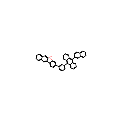 c1cc(-c2ccc3c(c2)oc2cc4ccccc4cc23)cc(-c2c3ccccc3c(-c3ccc4ccccc4c3)c3ccccc23)c1